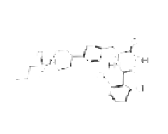 CCCS(=O)(=O)N1CCC(c2ccc(C[C@H](NC(=O)c3c(Cl)cccc3Cl)C(=O)O)cc2)CC1